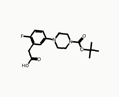 CC(C)(C)OC(=O)N1CCN(c2ccc(F)c(CC(=O)O)c2)CC1